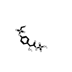 C[C@@H](C(=O)NS(C)(=O)=O)c1ccc(OS(=O)(=O)CF)cc1